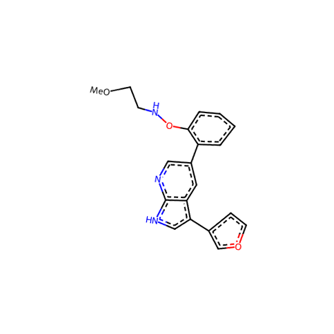 COCCNOc1ccccc1-c1cnc2[nH]cc(-c3ccoc3)c2c1